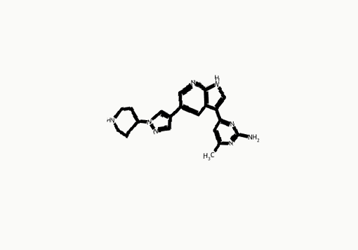 Cc1cc(-c2c[nH]c3ncc(-c4cnn(C5CCNCC5)c4)cc23)nc(N)n1